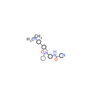 CN(C)c1ccc(-c2ccc(CN(C(=O)C3CCCCC3)c3cccc(NC(=O)c4ccncc4)c3)cc2)cc1